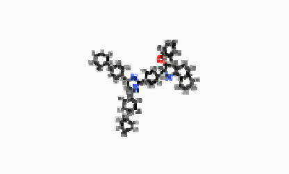 c1ccc(-c2ccc(-c3cc(-c4ccc(-c5ccccc5)cc4)nc(-c4ccc(-c5nc6c7ccccc7ccc6c6c5oc5ccccc56)cc4)n3)cc2)cc1